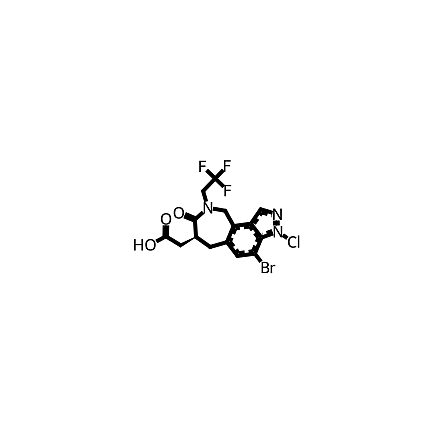 O=C(O)C[C@@H]1Cc2cc(Br)c3c(cnn3Cl)c2CN(CC(F)(F)F)C1=O